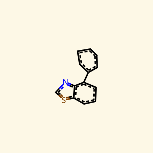 c1ccc(-c2cccc3scnc23)cc1